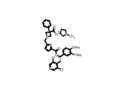 COc1ccc([C@H](Cc2c(Cl)cncc2Cl)OC(=O)c2ccc(CN3CC(C(=O)O[C@@H]4CCN(C)C4)(c4ccccc4)C3)s2)cc1OC